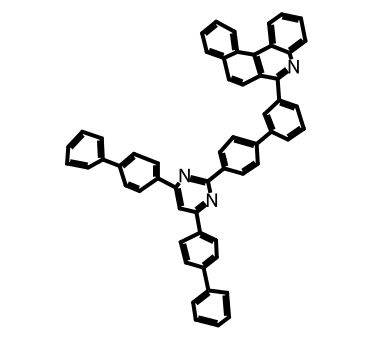 c1ccc(-c2ccc(-c3cc(-c4ccc(-c5ccccc5)cc4)nc(-c4ccc(-c5cccc(-c6nc7ccccc7c7c6ccc6ccccc67)c5)cc4)n3)cc2)cc1